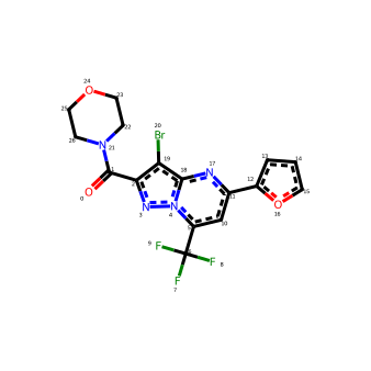 O=C(c1nn2c(C(F)(F)F)cc(-c3ccco3)nc2c1Br)N1CCOCC1